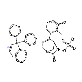 C/C=C\[P+](c1ccccc1)(c1ccccc1)c1ccccc1.Cn1c(C2=CCN3CC2N(OS(=O)(=O)[O-])C3=O)cccc1=O